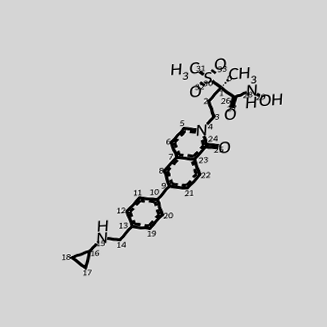 C[C@@](CCn1ccc2cc(-c3ccc(CNC4CC4)cc3)ccc2c1=O)(C(=O)NO)S(C)(=O)=O